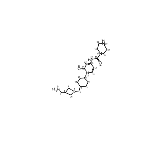 NCC1CN(CC2CCC(n3ccc(NC(=O)N4CCNCC4)nc3=O)CC2)C1